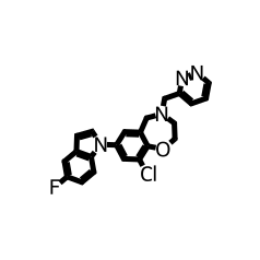 Fc1ccc2c(ccn2-c2cc(Cl)c3c(c2)CN(Cc2cccnn2)CCO3)c1